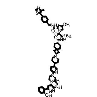 Cc1ncsc1-c1ccc(CNC(=O)[C@@H]2C[C@@H](O)CN2C(=O)[C@@H](NC(=O)[C@H]2CCC3(CC2)C[C@H](N2CCC(c4ccc(N5CCN6c7cc(-c8ccccc8O)nnc7NC[C@H]6C5)nc4)CC2)C3)C(C)(C)C)cc1